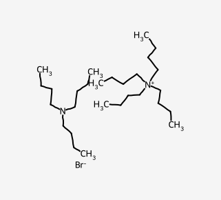 CCCCN(CCCC)CCCC.CCCC[N+](CCCC)(CCCC)CCCC.[Br-]